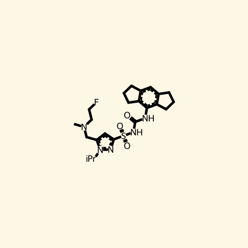 CC(C)n1nc(S(=O)(=O)NC(=O)Nc2c3c(cc4c2CCC4)CCC3)cc1CN(C)CCF